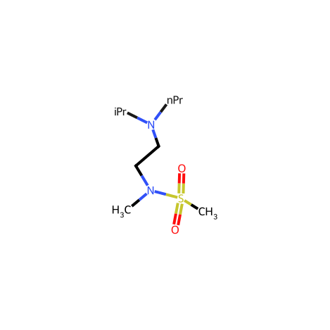 CCCN(CCN(C)S(C)(=O)=O)C(C)C